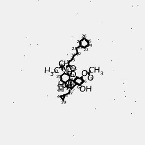 CC(=O)Oc1cc(O)c2c3c1O[C@H]1[C@@H](N(C(=O)CCCCCc4ccccc4)C(C)C)CC[C@H]4[C@@H](C2)N(CC2CC2)CC[C@@]341